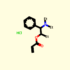 C=CC(=O)OC(CC)C(c1ccccc1)N(CC)CC.Cl